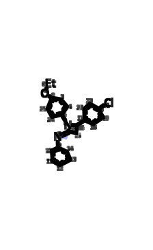 CCOc1ccc(N2/C(=N/c3ccccc3)CC2c2ccc(Cl)cc2)cc1